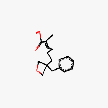 CC(=CCCC1(Cc2ccccc2)COC1)C(=O)O